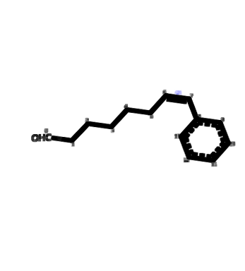 O=CCCCCC/C=C\c1ccccc1